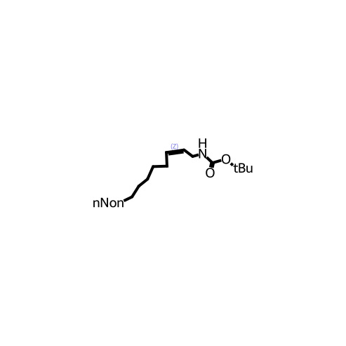 CCCCCCCCCCCCCC/C=C\CNC(=O)OC(C)(C)C